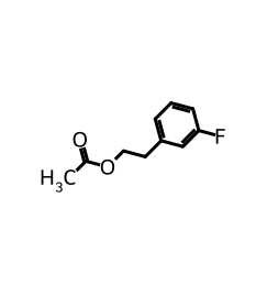 CC(=O)OCCc1cccc(F)c1